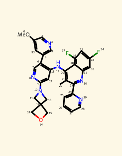 COc1cncc(-c2cnc(N3CC4(COC4)C3)cc2Nc2c(C)c(-c3ccccn3)nc3cc(F)cc(F)c23)c1